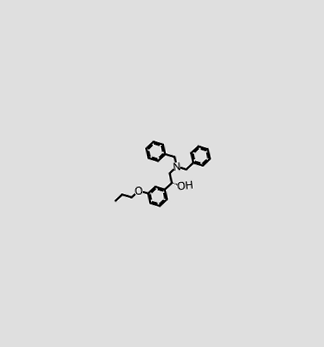 CCCOc1cccc([C@@H](O)CN(Cc2ccccc2)Cc2ccccc2)c1